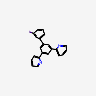 Ic1cccc(-c2cc(-c3ccccn3)cc(-c3ccccn3)c2)c1